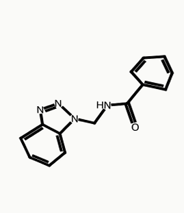 O=C(NCn1nnc2ccccc21)c1ccccc1